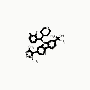 Cc1nnn(C)c1-c1cnc2c3ccc(C(C)(C)O)cc3n(C(c3cccc(F)c3F)C3CCOCC3)c2c1